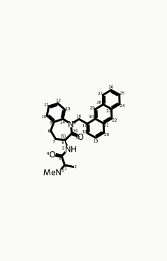 CNC(C)C(=O)N[C@H]1CCc2ccccc2N(Cc2cccc3cc4ccccc4cc23)C1=O